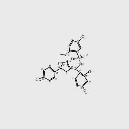 COc1ccc(Cl)cc1S(=O)(=O)NC(C1=NNC(c2ccc(Cl)cc2)C1)c1ccc(Cl)cc1Cl